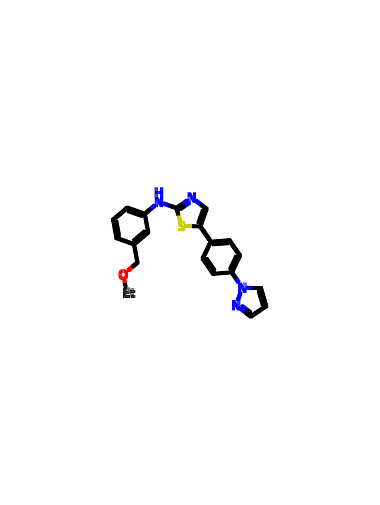 CCOCc1cccc(Nc2ncc(-c3ccc(-n4cccn4)cc3)s2)c1